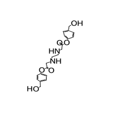 O=C(CNCCNCC(=O)Oc1ccc(CO)cc1)Oc1ccc(CO)cc1